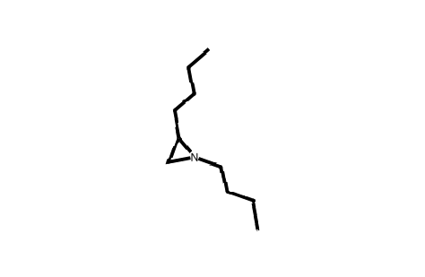 CCCCC1CN1CCCC